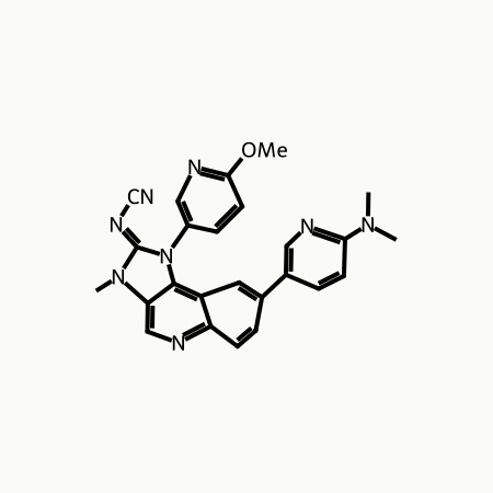 COc1ccc(-n2c(=NC#N)n(C)c3cnc4ccc(-c5ccc(N(C)C)nc5)cc4c32)cn1